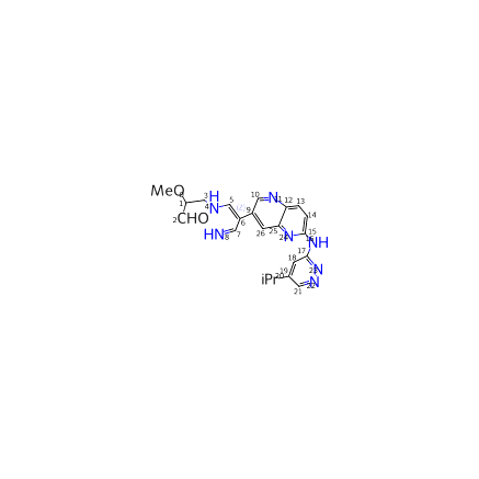 COC(C=O)CN/C=C(\C=N)c1cnc2ccc(Nc3cc(C(C)C)cnn3)nc2c1